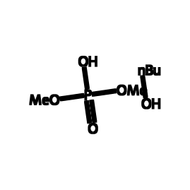 CCCCO.COP(=O)(O)OC